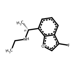 CCN[C@H](C)c1cccc2c(F)coc12